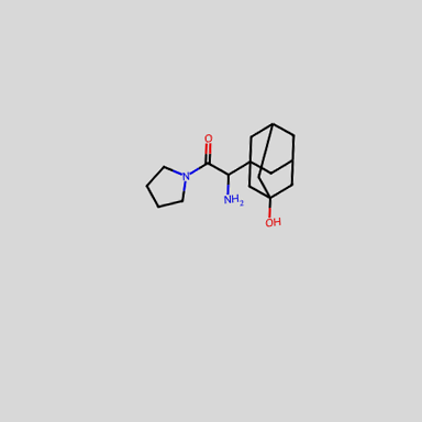 NC(C(=O)N1CCCC1)C12CC3CC(CC(O)(C3)C1)C2